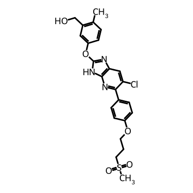 Cc1ccc(Oc2nc3cc(Cl)c(-c4ccc(OCCCS(C)(=O)=O)cc4)nc3[nH]2)cc1CO